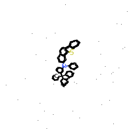 c1ccc(N(c2cccc(C3(c4ccccc4)c4ccccc4-c4ccccc43)c2)c2ccc3ccc4c5ccccc5sc4c3c2)cc1